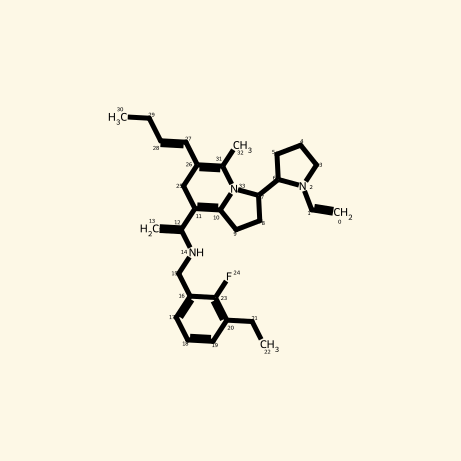 C=CN1CCCC1C1CCC2=C(C(=C)NCc3cccc(CC)c3F)CC(/C=C/CC)=C(C)N21